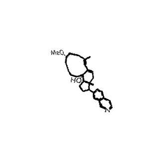 CO[C@H]1CCCC[C@@]2(O)C(=CCC3(C)C(c4ccc5ccncc5c4)CCC32)/C=C(\C)CC1